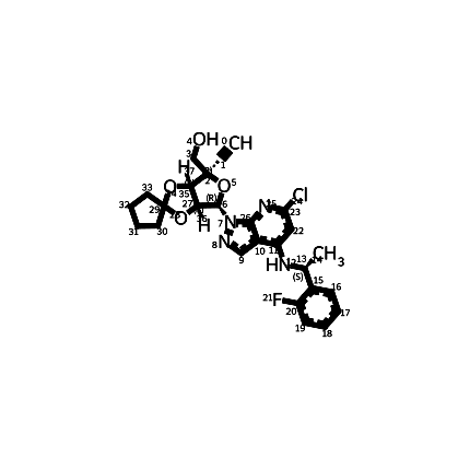 C#C[C@]1(CO)O[C@@H](n2ncc3c(N[C@@H](C)c4ccccc4F)cc(Cl)nc32)[C@@H]2OC3(CCCC3)O[C@@H]21